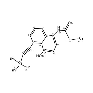 CC(C)[Si](C#Cc1cccc2c(NC(=O)OC(C)(C)C)ccc(O)c12)(C(C)C)C(C)C